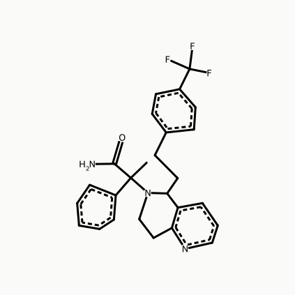 CC(C(N)=O)(c1ccccc1)N1CCc2ncccc2C1CCc1ccc(C(F)(F)F)cc1